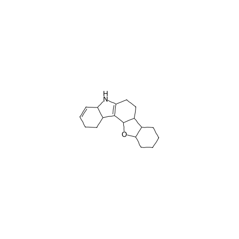 C1=CC2NC3=C(C2CC1)C1OC2CCCCC2C1CC3